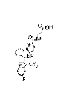 Cc1c(C(Nc2ccc(C(=O)NCCC(=O)O)nc2)C2CCCCC2)oc2ccc(F)cc12